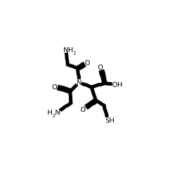 NCC(=O)N(C(=O)CN)C(C(=O)O)C(=O)CS